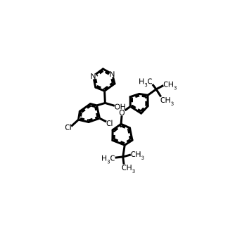 CC(C)(C)c1ccc(Oc2ccc(C(C)(C)C)cc2)cc1.OC(c1cncnc1)c1ccc(Cl)cc1Cl